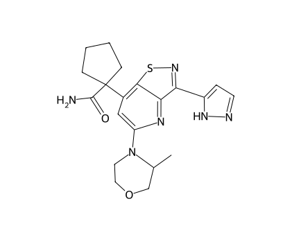 CC1COCCN1c1cc(C2(C(N)=O)CCCC2)c2snc(-c3ccn[nH]3)c2n1